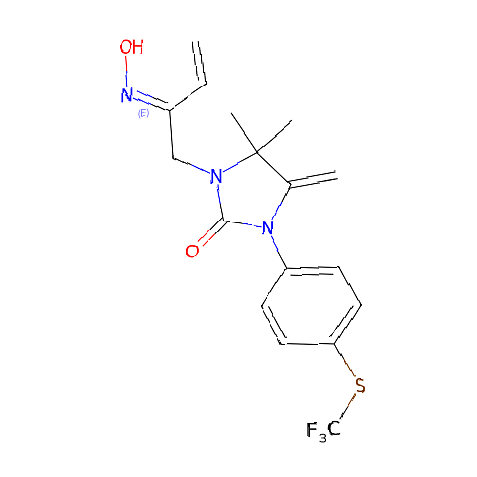 C=C/C(CN1C(=O)N(c2ccc(SC(F)(F)F)cc2)C(=C)C1(C)C)=N\O